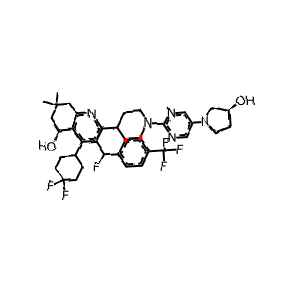 CC1(C)Cc2nc(C3CCN(c4ncc(N5CC[C@H](O)C5)cn4)CC3)c(C(F)c3ccc(C(F)(F)F)cc3)c(C3CCC(F)(F)CC3)c2[C@@H](O)C1